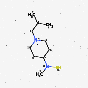 CC(C)CN1CCC(N(C)S)CC1